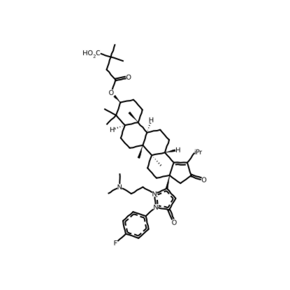 CC(C)C1=C2[C@H]3CC[C@@H]4[C@@]5(C)CC[C@H](OC(=O)CC(C)(C)C(=O)O)C(C)(C)[C@@H]5CC[C@@]4(C)[C@]3(C)CC[C@@]2(c2cc(=O)n(-c3ccc(F)cc3)n2CCN(C)C)CC1=O